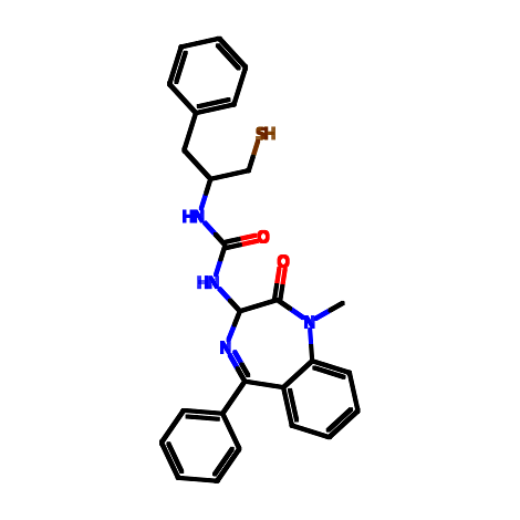 CN1C(=O)C(NC(=O)NC(CS)Cc2ccccc2)N=C(c2ccccc2)c2ccccc21